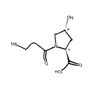 O=C(O)[C@@H]1C[C@@H](O)CN1C(=O)CCS